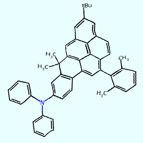 Cc1cccc(C)c1-c1cc2c3c(cc4cc(C(C)(C)C)cc5ccc1c3c54)C(C)(C)c1cc(N(c3ccccc3)c3ccccc3)ccc1-2